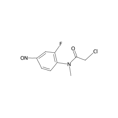 CN(C(=O)CCl)c1ccc(N=O)cc1F